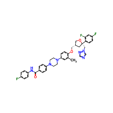 Cc1cc(N2CCN(c3ccc(C(=O)Nc4ccc(F)cc4)cc3)CC2)ccc1OC[C@@H]1CO[C@@](Cn2cncn2)(c2ccc(F)cc2F)C1